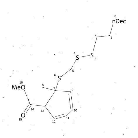 CCCCCCCCCCCCSSCSC1(C)C=CC=CC1C(=O)OC